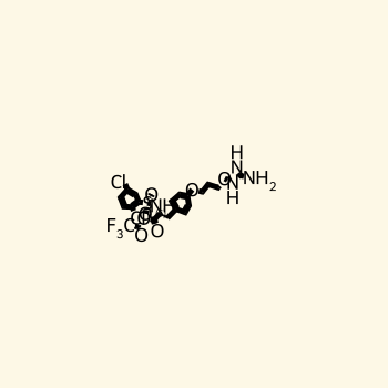 N=C(N)NOCCCOc1ccc(C[C@H](NS(=O)(=O)c2cc(Cl)ccc2Cl)C(=O)OC(=O)C(F)(F)F)cc1